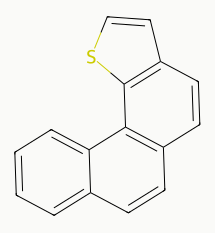 c1ccc2c(c1)ccc1ccc3ccsc3c12